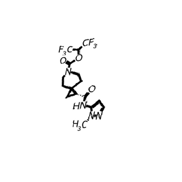 Cn1nccc1NC(=O)[C@@H]1CC12CCN(C(=O)OC(C(F)(F)F)C(F)(F)F)CC2